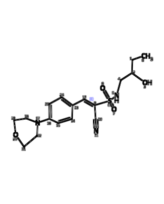 CCC(O)CNS(=O)(=O)/C(C#N)=C/c1ccc(N2CCOCC2)cc1